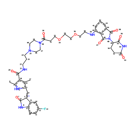 Cc1[nH]c(/C=C2\C(=O)Nc3ccc(F)cc32)c(C)c1C(=O)NCCCN1CCN(C(=O)CCOCCOCCNc2cccc3c2C(=O)N(C2CCC(=O)NC2=O)C3=O)CC1